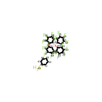 Fc1c(F)c(F)c([B-](c2c(F)c(F)c(F)c(F)c2F)(c2c(F)c(F)c(F)c(F)c2F)c2c(F)c(F)c(F)c(F)c2F)c(F)c1F.[SH2+]c1ccccc1